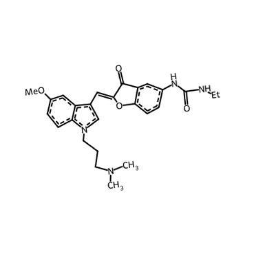 CCNC(=O)Nc1ccc2c(c1)C(=O)C(=Cc1cn(CCCN(C)C)c3ccc(OC)cc13)O2